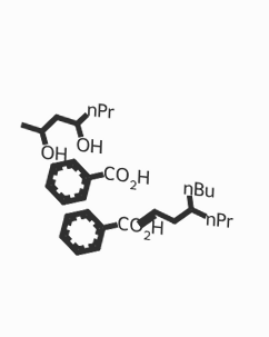 C=CCC(CCC)CCCC.CCCC(O)CC(C)O.O=C(O)c1ccccc1.O=C(O)c1ccccc1